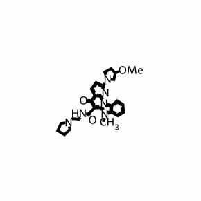 COC1CCN(c2ccc3c(=O)c(C(=O)NCCN4CCCC4)c4n(C)c5ccccc5n4c3n2)C1